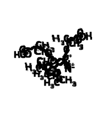 CN(C)c1ccc2c(c1)[Si](C)(C)c1cc(N(C)C)ccc1C2=C1C=C(N=[N+]=[N-])C(=[O+]CCOCC[N+](C)(C)CCCS(=O)(=O)O)C=C1OCCOCC[N+](C)(C)CCCS(=O)(=O)O